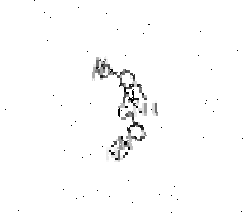 CN1CCN(c2cccc(C(=O)Nc3ncc4ccc(-c5cnn(C)c5)cc4n3)c2)CC1